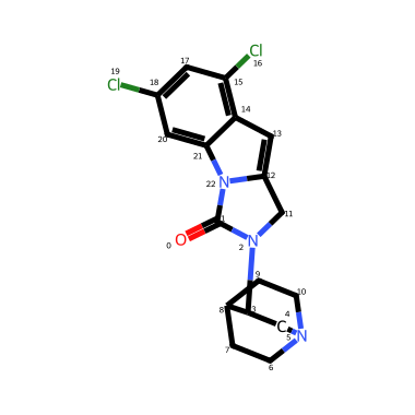 O=C1N(C2CN3CCC2CC3)Cc2cc3c(Cl)cc(Cl)cc3n21